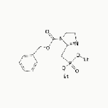 CCOP(=O)(CC1=NCCN1C(=O)OCc1ccccc1)OCC